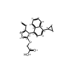 C=Cc1nnc(SCC(=O)O)n1-c1ccc(C2CC2)c2ccccc12